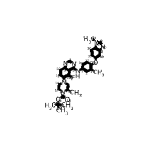 Cc1cc(Nc2ncnc3ccc(N4CCN(C(=O)OC(C)(C)C)[C@H](C)C4)c(F)c23)ccc1Oc1ccc2c(c1)ncn2C